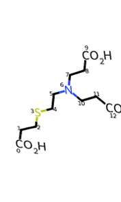 O=C(O)CCSCCN(CCC(=O)O)CCC(=O)O